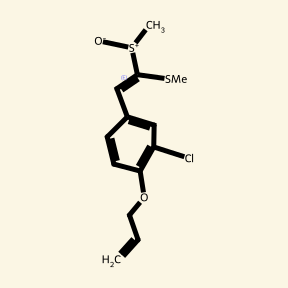 C=CCOc1ccc(/C=C(\SC)[S+](C)[O-])cc1Cl